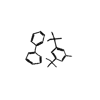 Cc1cc(C(C)(C)C)cc(C(C)(C)C)c1.c1ccc(-c2ccccc2)cc1